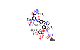 CCN(C(=O)OC(C)(C)C)c1cc(C2(Cc3nncn3C)COC2)cc(N2Cc3c(SC)cc(C[N+]4(Cc5ccc(O[C@@H]6O[C@H](C(=O)O)[C@@H](O)[C@H](O)[C@H]6O)c(C(=O)NCCNC(=O)OC(C)(C)C)c5)CCC[C@H](C)C4)cc3C2=O)n1